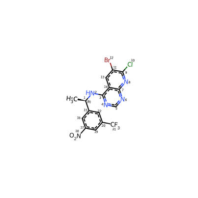 C[C@@H](Nc1ncnc2nc(Cl)c(Br)cc12)c1cc([N+](=O)[O-])cc(C(F)(F)F)c1